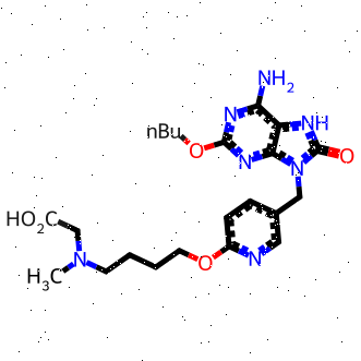 CCCCOc1nc(N)c2[nH]c(=O)n(Cc3ccc(OCCCCN(C)CC(=O)O)nc3)c2n1